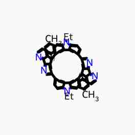 CCn1c2ccc3cc2c2cc(ccc21)[C@@]1(c2ccc(C)cc2)c2cccnc2-c2ncc(cc21)-c1ccc2c(c1)c1cc(ccc1n2CC)[C@@]1(c2ccc(C)cc2)c2cccnc2-c2ncc-3cc21